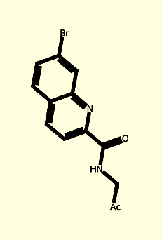 CC(=O)CNC(=O)c1ccc2ccc(Br)cc2n1